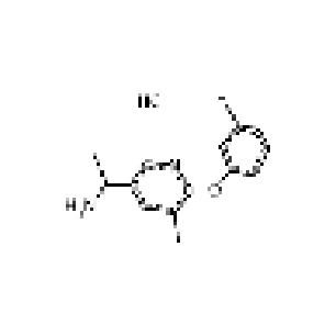 Cc1cc(C(C)N)cnc1Oc1cccc(F)c1.Cl